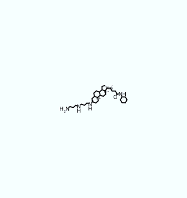 C[C@H](CCC(=O)NC1CCCCC1)[C@H]1CCC2C3CCC4C[C@@H](NCCCNCCCN)CC[C@]4(C)C3CC[C@@]21C